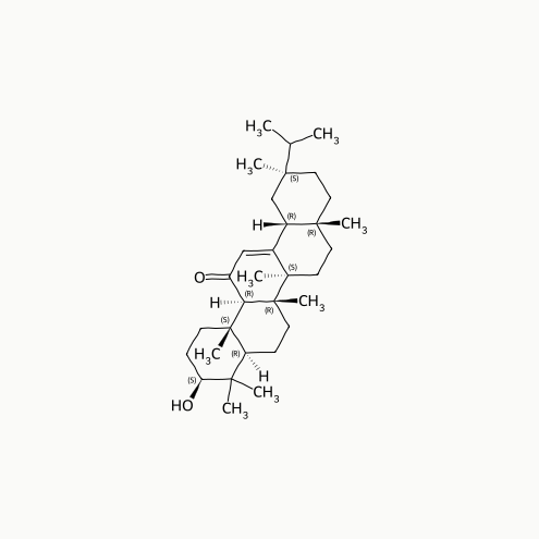 CC(C)[C@@]1(C)CC[C@]2(C)CC[C@]3(C)C(=CC(=O)[C@@H]4[C@@]5(C)CC[C@H](O)C(C)(C)[C@@H]5CC[C@]43C)[C@@H]2C1